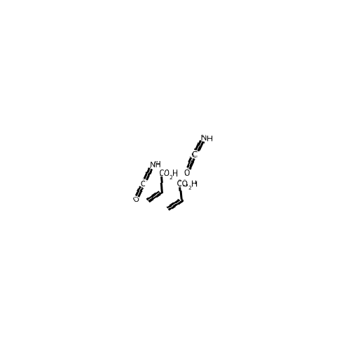 C=CC(=O)O.C=CC(=O)O.N=C=O.N=C=O